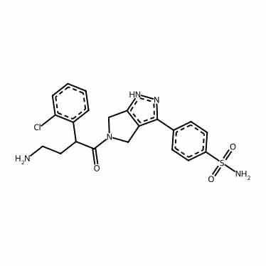 NCCC(C(=O)N1Cc2[nH]nc(-c3ccc(S(N)(=O)=O)cc3)c2C1)c1ccccc1Cl